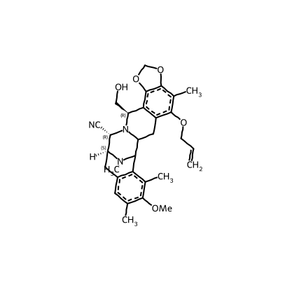 C=CCOc1c(C)c2c(c3c1CC1C4c5c(cc(C)c(OC)c5C)C[C@@H]([C@H](C#N)N1[C@H]3CO)N4C)OCO2